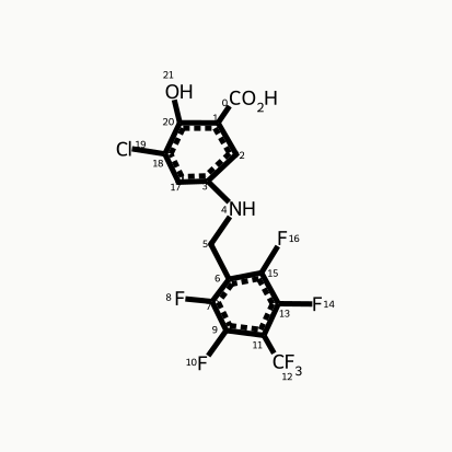 O=C(O)c1cc(NCc2c(F)c(F)c(C(F)(F)F)c(F)c2F)cc(Cl)c1O